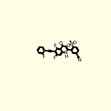 CS(=O)(=O)c1ccc(C#N)cc1-c1cc(=O)c2c(F)c(C#Cc3ccccc3F)c(F)cc2[nH]1